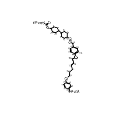 [CH2+][CH-]CCCC(=O)OC1CCC(C2CCC(OOCc3ccc(OCCCCCCOc4ccc(CCCCC)cc4)cc3)CC2)CC1